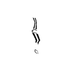 [C].[C]=C=C